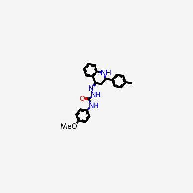 COc1ccc(NC(=O)NN=C2CC(c3ccc(C)cc3)Nc3ccccc32)cc1